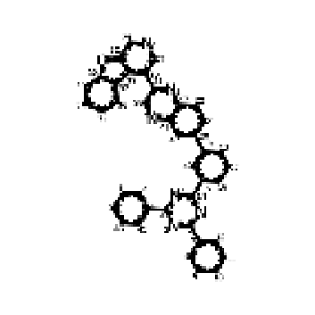 c1ccc(-c2nc(-c3ccccc3)nc(-c3cccc(-c4ccc5nc(-c6cncc7oc8ccccc8c67)cnc5c4)c3)n2)cc1